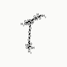 NCC(=O)NCC(=O)NCC(=O)NC(CCC(N)=O)C(=O)NCCOCCOCCOCCOCCC(=O)NC(CS)C(N)=O